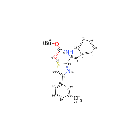 CC(C)(C)OC(=O)N[C@@H](Cc1cc[c]cc1)c1nc(-c2cccc(C(F)(F)F)c2)cs1